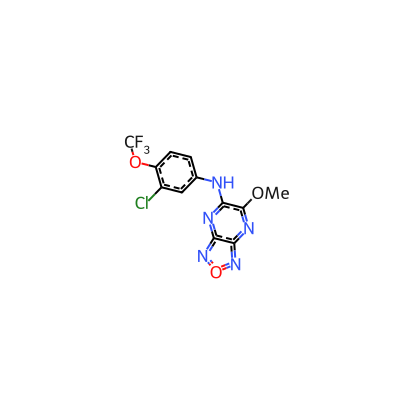 COc1nc2nonc2nc1Nc1ccc(OC(F)(F)F)c(Cl)c1